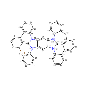 SC1CC=CC2=C1B1N(c3ccccc3)c3cc4c(cc3N1c1ccccc12)N1B2c3c(cccc3-c3ccccc3N24)CC2C=CC=CC21